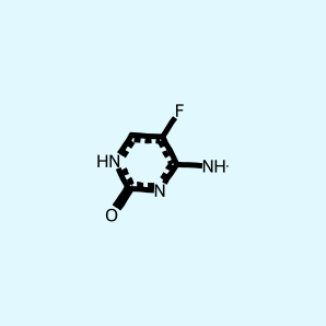 [NH]c1nc(=O)[nH]cc1F